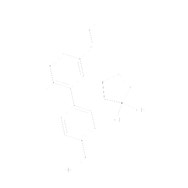 CCOc1ccc(F)c(-c2ccc(CO)cc2[C@@H]2CCCC2(C)C)c1